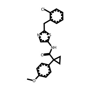 COc1ccc(C2(C(=O)Nc3cnc(Cc4ccccc4Cl)s3)CC2)cc1